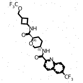 O=C(N[C@H]1CC[C@H](C(=O)NC2CC(COC(F)(F)F)C2)OC1)c1ccc2cc(C(F)(F)F)ccc2n1